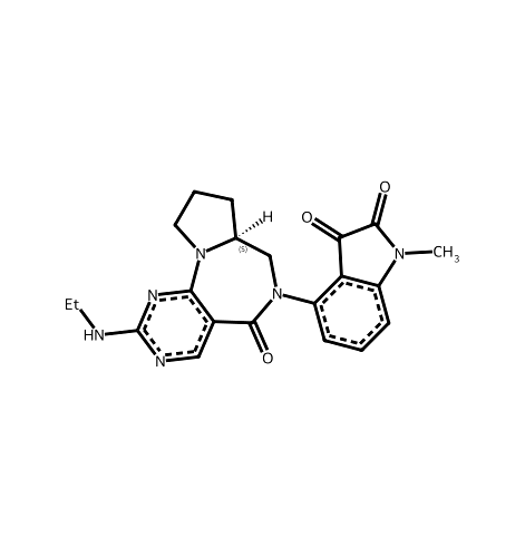 CCNc1ncc2c(n1)N1CCC[C@H]1CN(c1cccc3c1C(=O)C(=O)N3C)C2=O